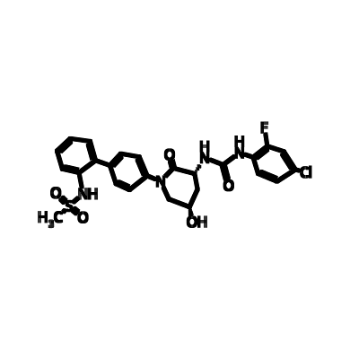 CS(=O)(=O)Nc1ccccc1-c1ccc(N2C[C@H](O)C[C@@H](NC(=O)Nc3ccc(Cl)cc3F)C2=O)cc1